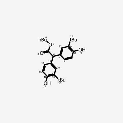 CCCCOC(=O)C(c1ccc(O)c(C(C)(C)C)c1)c1ccc(O)c(C(C)(C)C)c1